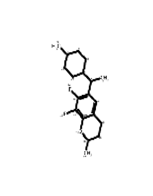 CC1CCC(C(C)c2cc3c(c(F)c2F)OC(C)CC3)CC1